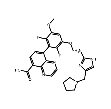 COc1cc(OC)c(F)c(-c2ccc(C(=O)O)c3nccnc23)c1F.Nc1nc(CN2CCCC2)c[nH]1